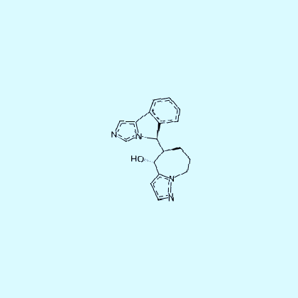 O[C@H]1c2ccnn2CCC[C@@H]1[C@@H]1c2ccccc2-c2cncn21